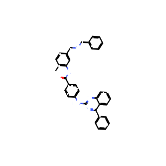 Cc1ccc(CNCc2ccccc2)cc1NC(=O)c1ccc(Nc2nc(-c3ccccc3)c3ccccc3n2)cc1